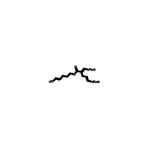 CCCC=CCCCOC(=O)C(=CCCCCC)CC=CCCCCC